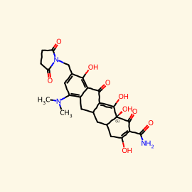 CN(C)c1cc(CN2C(=O)CCC2=O)c(O)c2c1CC1CC3CC(O)=C(C(N)=O)C(=O)[C@@]3(O)C(O)=C1C2=O